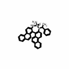 CC(c1ccccc1)N1c2ccc3c(ccc4ccccc43)c2-c2c(ccc3c2ccc2ccccc23)NP1(N)=S